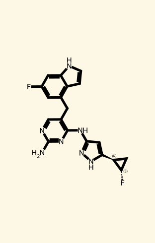 Nc1ncc(Cc2cc(F)cc3[nH]ccc23)c(Nc2cc([C@H]3C[C@@H]3F)[nH]n2)n1